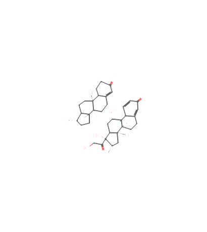 C[C@@H]1C[C@H]2[C@@H]3CCC4=CC(=O)C=C[C@]4(C)[C@@]3(F)[C@@H](O)C[C@]2(C)[C@@]1(O)C(=O)CO.C[C@]12CC[C@H]3[C@@H](CCC4=CC(=O)CC[C@@]43C)[C@@H]1CC[C@@H]2O